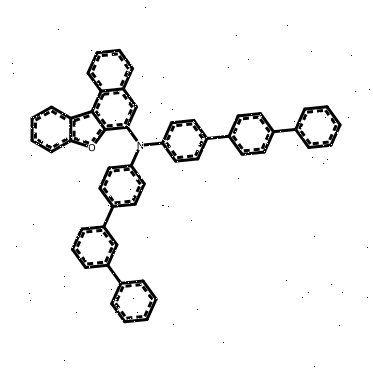 c1ccc(-c2ccc(-c3ccc(N(c4ccc(-c5cccc(-c6ccccc6)c5)cc4)c4cc5ccccc5c5c4oc4ccccc45)cc3)cc2)cc1